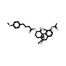 COc1ccc(CCCC(=O)O[C@H]2CC[C@H]3[C@H]4Cc5ccc(OC(C)=O)c6c5[C@@]3(CCN4C)[C@H]2O6)cc1